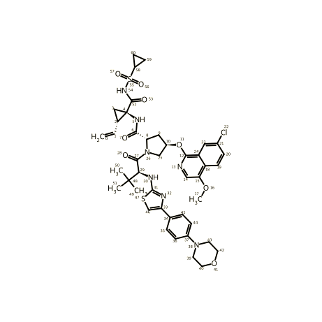 C=C[C@@H]1C[C@]1(NC(=O)[C@@H]1C[C@@H](Oc2ncc(OC)c3ccc(Cl)cc23)CN1C(=O)[C@@H](Nc1nc(-c2ccc(N3CCOCC3)cc2)cs1)C(C)(C)C)C(=O)NS(=O)(=O)C1CC1